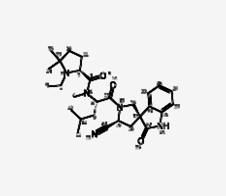 CCN1[C@H](C(=O)N(C)[C@@H](CC(C)C)C(=O)N2C[C@]3(C[C@H]2C#N)C(=O)Nc2ccccc23)CCC1(C)C